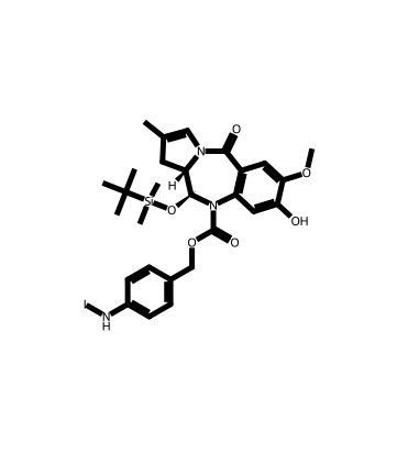 COc1cc2c(cc1O)N(C(=O)OCc1ccc(NI)cc1)[C@@H](O[Si](C)(C)C(C)(C)C)[C@@H]1CC(C)=CN1C2=O